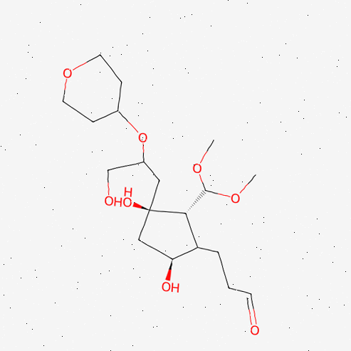 COC(OC)[C@@H]1C(CCC=O)[C@@H](O)C[C@]1(O)CC(CO)OC1CCOCC1